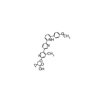 COc1ccc(C2=CCC=C(c3ccc(-c4cnc(OCC5(C(=O)O)CC5)cc4C)cn3)N2)cc1